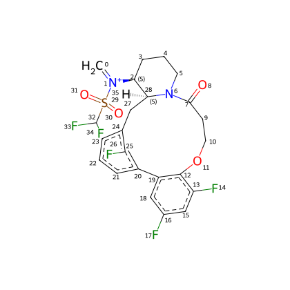 C=[N+]([C@H]1CCCN2C(=O)CCOc3c(F)cc(F)cc3-c3cccc(c3F)C[C@@H]12)S(=O)(=O)C(F)F